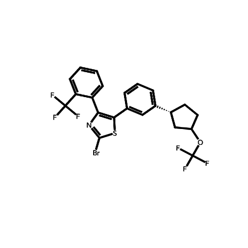 FC(F)(F)OC1CC[C@@H](c2cccc(-c3sc(Br)nc3-c3ccccc3C(F)(F)F)c2)C1